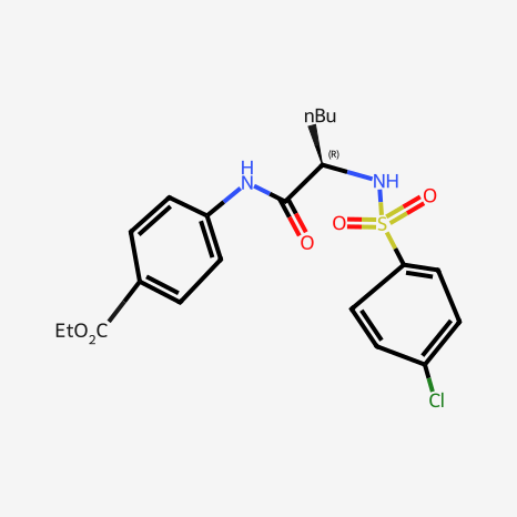 CCCC[C@@H](NS(=O)(=O)c1ccc(Cl)cc1)C(=O)Nc1ccc(C(=O)OCC)cc1